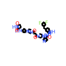 O=C1CCC(Nc2ccc(N3CCN(C(=O)CCC(=O)N4CCC(Nc5cnccc5C(=O)Nc5n[nH]c6ccc(Cc7cc(F)cc(F)c7)cc56)CC4)CC3)cc2)C(=O)N1